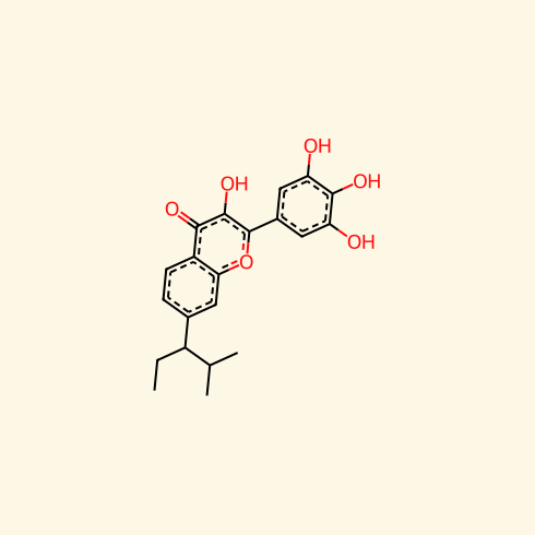 CCC(c1ccc2c(=O)c(O)c(-c3cc(O)c(O)c(O)c3)oc2c1)C(C)C